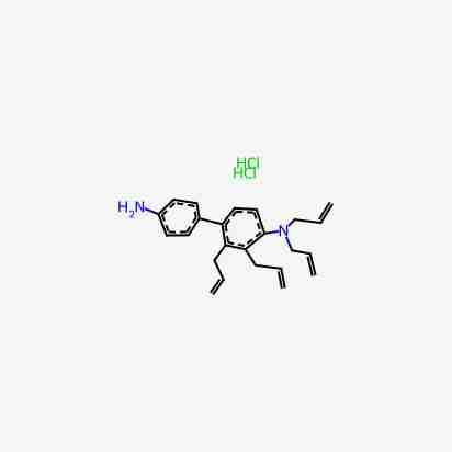 C=CCc1c(-c2ccc(N)cc2)ccc(N(CC=C)CC=C)c1CC=C.Cl.Cl